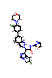 O=C(Nc1nccs1)C(c1ncn2c1CC(F)C2)n1cc2c(F)cc(-c3ccc(N4CCOCC4)c(F)c3)cc2n1